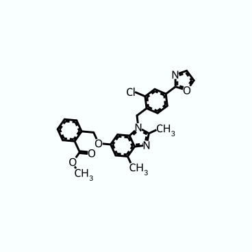 COC(=O)c1ccccc1COc1cc(C)c2nc(C)n(Cc3ccc(-c4ncco4)cc3Cl)c2c1